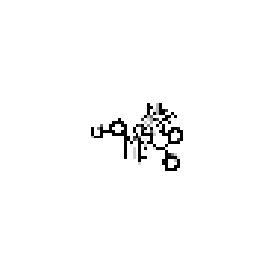 CC(C)(C)C(C(N)=O)N1C(=O)C(NC(=O)Nc2cccc(Cl)c2)CC(c2ccccc2)c2ccccc21